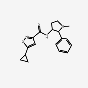 CN1CCC(NC(=O)c2cc(C3CC3)on2)C1c1ccccc1